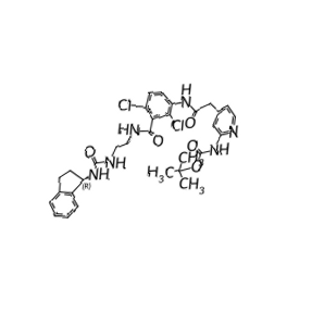 CC(C)(C)OC(=O)Nc1cc(CC(=O)Nc2ccc(Cl)c(C(=O)NCCNC(=O)N[C@@H]3CCc4ccccc43)c2Cl)ccn1